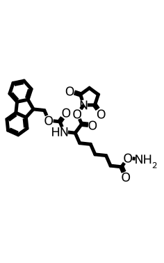 NOC(=O)CCCCCC(NC(=O)OCC1c2ccccc2-c2ccccc21)C(=O)ON1C(=O)CCC1=O